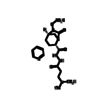 CC(C)(C)N(CCC(=O)NNC(=O)[C@@H]1CC[C@@H]2CN1C(=O)N2OS(=O)(=O)O)C(=O)O.c1ccncc1